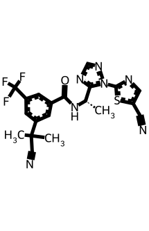 C[C@H](NC(=O)c1cc(C(F)(F)F)cc(C(C)(C)C#N)c1)c1ncnn1-c1ncc(C#N)s1